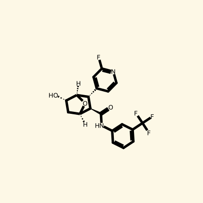 O=C(Nc1cccc(C(F)(F)F)c1)[C@@H]1[C@@H](c2ccnc(F)c2)[C@H]2O[C@@H]1C[C@@H]2O